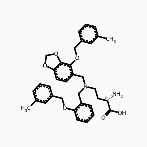 Cc1cccc(COc2ccccc2CN(CC[C@H](N)C(=O)O)Cc2ccc3c(c2OCc2cccc(C)c2)OCO3)c1